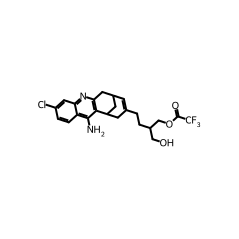 Nc1c2c(nc3cc(Cl)ccc13)CC1C=C(CCC(CO)COC(=O)C(F)(F)F)CC2C1